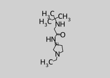 CCN1CC[C@H](NC(=O)CNC(C)(C)C)C1